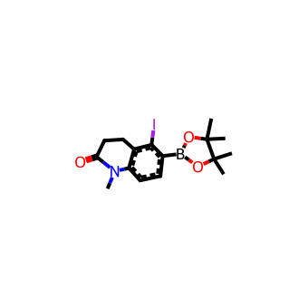 CN1C(=O)CCc2c1ccc(B1OC(C)(C)C(C)(C)O1)c2I